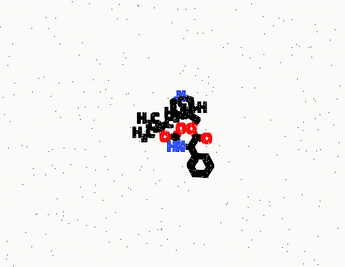 CC(C)(C)OC(=O)NC(C(=O)OC[C@@H]1CN2CCC1CC2)c1ccccc1